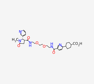 CN1C(=O)C[C@H](C(=O)NCCOCCOCCNC(=O)c2ccc(C3CCC(C(=O)O)CC3)nc2)[C@H]1c1cccnc1